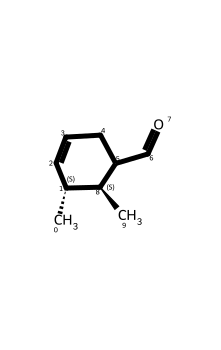 C[C@@H]1C=CCC(C=O)[C@H]1C